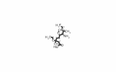 CCOC(C)(CCC(OC)[C@@H](N)C(C)SCC)CC(=O)O